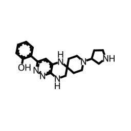 Oc1ccccc1-c1cc2c(nn1)NCC1(CCN(C3CCNC3)CC1)N2